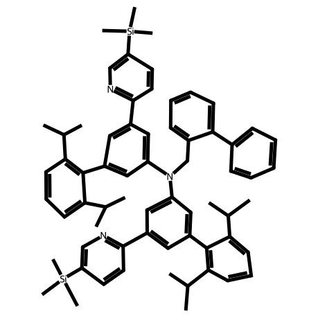 CC(C)c1cccc(C(C)C)c1-c1cc(-c2ccc([Si](C)(C)C)cn2)cc(N(Cc2ccccc2-c2ccccc2)c2cc(-c3ccc([Si](C)(C)C)cn3)cc(-c3c(C(C)C)cccc3C(C)C)c2)c1